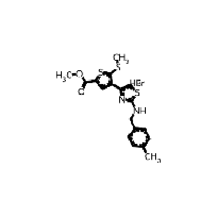 Br.COC(=O)c1cc(-c2csc(NCc3ccc(C)cc3)n2)c(SC)s1